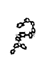 C1=Cc2c(n(-c3ccc4oc5ccc(-c6ccc7oc8ccc(-c9cccc(-c%10cccc(-c%11ccccc%11)c%10)c9)cc8c7c6)cc5c4c3)c3ccc(-c4ccccc4)cc23)CC1